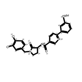 COc1cccc(-c2ccc(C(=O)NC3CCN(Cc4ccc(Cl)c(Cl)c4)C3=O)cn2)c1